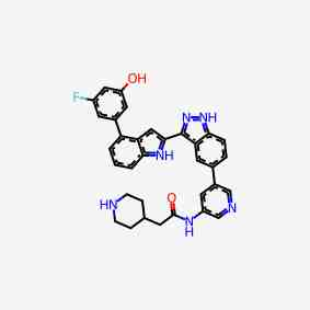 O=C(CC1CCNCC1)Nc1cncc(-c2ccc3[nH]nc(-c4cc5c(-c6cc(O)cc(F)c6)cccc5[nH]4)c3c2)c1